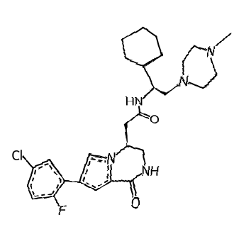 CN1CCN(C[C@@H](NC(=O)C[C@H]2CNC(=O)c3cc(-c4cc(Cl)ccc4F)cn32)C2CCCCC2)CC1